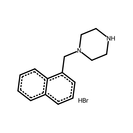 Br.c1ccc2c(CN3CCNCC3)cccc2c1